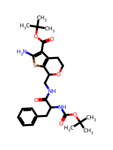 CC(C)(C)OC(=O)NC(Cc1ccccc1)C(=O)NCC1OCCc2c1sc(N)c2C(=O)OC(C)(C)C